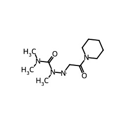 CN(C)C(=O)N(C)[N]CC(=O)N1CCCCC1